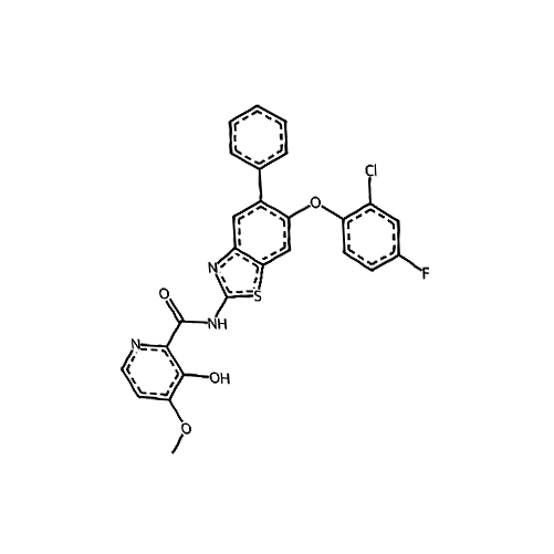 COc1ccnc(C(=O)Nc2nc3cc(-c4ccccc4)c(Oc4ccc(F)cc4Cl)cc3s2)c1O